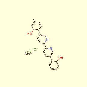 Cc1ccc(-c2ccc(-c3ccc(-c4ccccc4O)cn3)nc2)c(O)c1.[Cl-].[Cl-].[Cl-].[Mn+3]